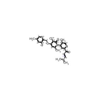 Cc1cnc(COc2cc(C)n(-c3cc(C(=O)/C=C/N(C)C)ncc3C)c(=O)c2Cl)c(F)c1